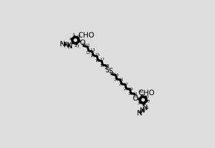 [N-]=[N+]=Nc1ccc(C=O)c(OCCCCCCCCCCSSCCCCCCCCCCOc2cc(N=[N+]=[N-])ccc2C=O)c1